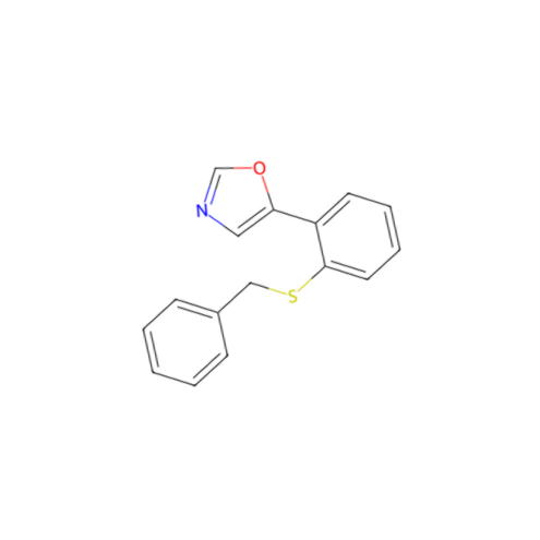 c1ccc(CSc2ccccc2-c2cnco2)cc1